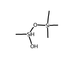 C[SiH](O)O[Si](C)(C)C